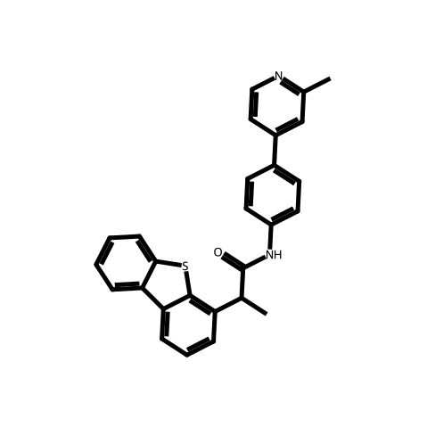 Cc1cc(-c2ccc(NC(=O)C(C)c3cccc4c3sc3ccccc34)cc2)ccn1